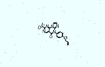 C=CCOc1ccc(-n2c(=O)c3cnc([S+](C)[O-])nc3n3ccnc23)cc1